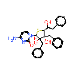 Nc1ccn([C@H]2S[C@@H](C(O)Cc3ccccc3)[C@@](O)(Cc3ccccc3)[C@]2(O)Cc2ccccc2)c(=O)n1